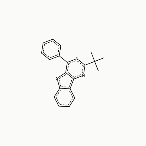 CC(C)(C)c1nc(-c2ccccc2)c2sc3ccccc3c2n1